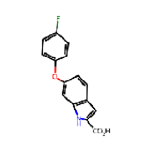 O=C(O)c1cc2ccc(Oc3ccc(F)cc3)cc2[nH]1